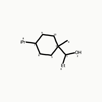 CCC(O)C1(C)C[CH]C(C(C)C)CC1